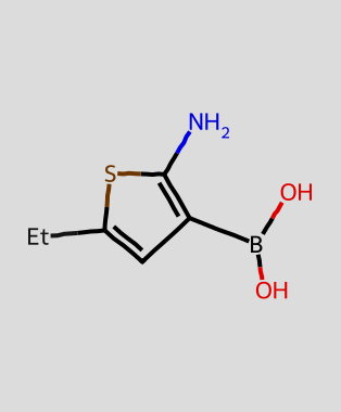 CCc1cc(B(O)O)c(N)s1